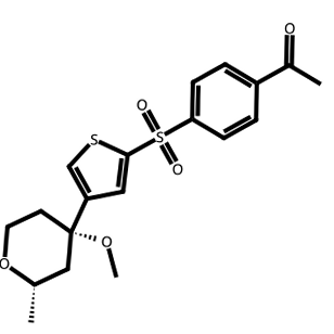 CO[C@@]1(c2csc(S(=O)(=O)c3ccc(C(C)=O)cc3)c2)CCO[C@@H](C)C1